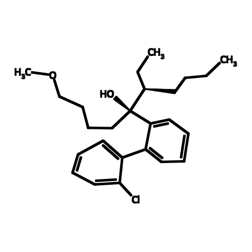 CCCC[C@H](CC)[C@@](O)(CCCCOC)c1ccccc1-c1ccccc1Cl